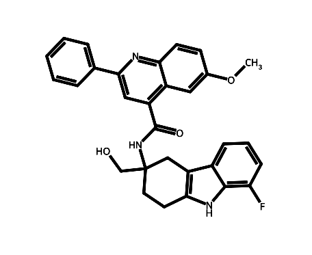 COc1ccc2nc(-c3ccccc3)cc(C(=O)NC3(CO)CCc4[nH]c5c(F)cccc5c4C3)c2c1